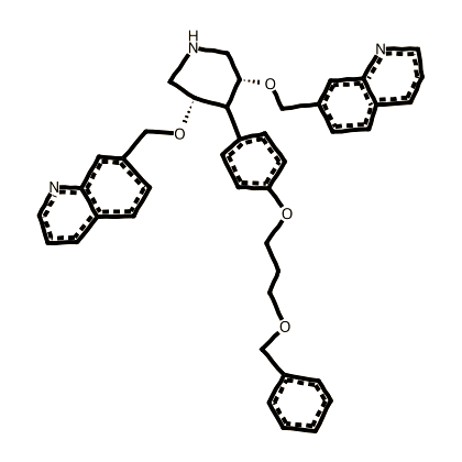 c1ccc(COCCCOc2ccc(C3[C@@H](OCc4ccc5cccnc5c4)CNC[C@H]3OCc3ccc4cccnc4c3)cc2)cc1